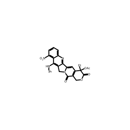 CCC1(OC(C)=O)C(=O)OCc2c1cc1n(c2=O)Cc2c-1nc1cccc([N+](=O)[O-])c1c2NC(C)C